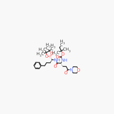 CCC(C)(C)OC(=O)N[C@H](CCC(=O)N1CCOCC1)C(=O)N[C@@H](CCCc1ccccc1)B1OC(C)(C)C(C)(C)O1